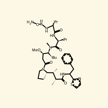 CC[C@H](C)[C@@H]([C@@H](CC(=O)N1CCC[C@H]1[C@H](C)[C@@H](C)C(=O)NC(Cc1ccccc1)c1nccs1)OC)N(C)C(=O)[C@@H](NC(=O)C(NBON)C(C)C)C(C)C